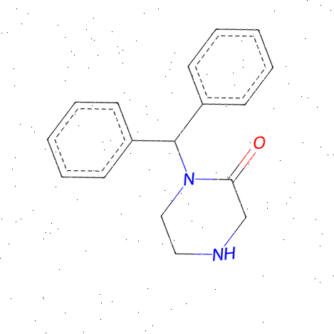 O=C1CNCCN1C(c1ccccc1)c1ccccc1